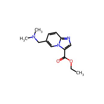 CCOC(=O)c1cnc2ccc(CN(C)C)cn12